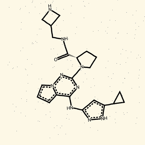 O=C(NCC1CNC1)[C@@H]1CCCN1c1nc(Nc2cc(C3CC3)[nH]n2)c2cccn2n1